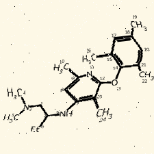 CCC(CN(C)C)Nc1cc(C)nc(Oc2c(C)cc(C)cc2C)c1C